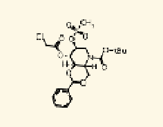 CC(C)(C)OC(=O)N1C[C@H](OS(C)(=O)=O)[C@@H](OC(=O)CCl)[C@@H]2OC(c3ccccc3)OC[C@H]21